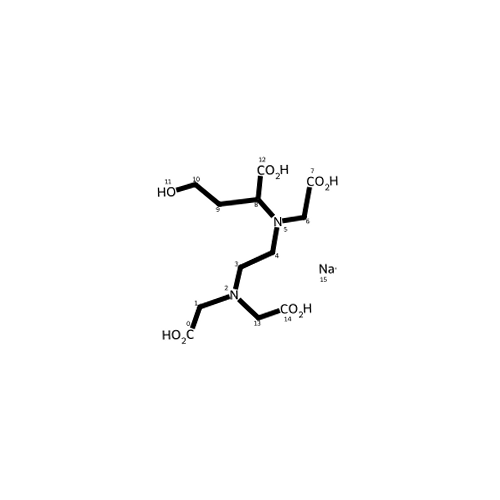 O=C(O)CN(CCN(CC(=O)O)C(CCO)C(=O)O)CC(=O)O.[Na]